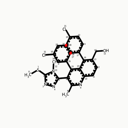 CSc1nnc(-c2c(C)nc3ccc(CO)c(-c4ccc(Cl)cc4)c3c2-c2cccc(Cl)c2)n1C